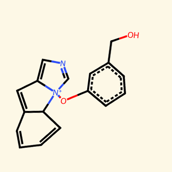 OCc1cccc(O[N+]23C=NC=C2C=C2C=CC=CC23)c1